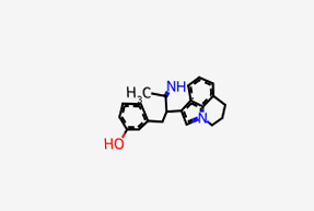 CC(=N)C(Cc1cccc(O)c1)c1cn2c3c(cccc13)CCC2